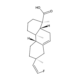 C[C@]1(/C=C\F)CC[C@H]2C(=CC[C@@H]3[C@]2(C)CCC[C@@]3(C)C(=O)O)C1